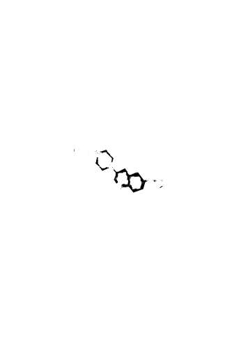 O=C(O)N1CCN(c2cnc3ccc(OS(=O)(=O)C(F)(F)F)cc3c2)CC1